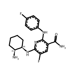 NC(=O)c1cc(F)c(N[C@@H]2CCCC[C@@H]2N)nc1Nc1ccc(F)cc1